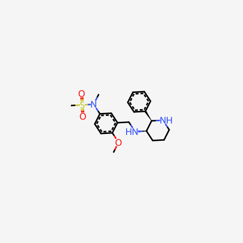 COc1ccc(N(C)S(C)(=O)=O)cc1CN[C@@H]1CCCN[C@@H]1c1ccccc1